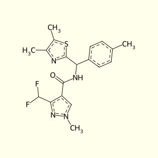 Cc1ccc(C(NC(=O)c2cn(C)nc2C(F)F)c2nc(C)c(C)s2)cc1